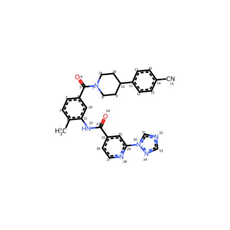 Cc1ccc(C(=O)N2CCC(c3ccc(C#N)cc3)CC2)cc1NC(=O)c1ccnc(-n2cncn2)c1